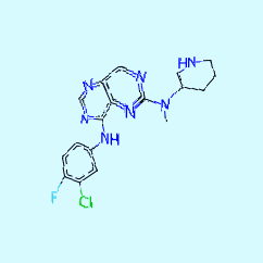 CN(c1ncc2ncnc(Nc3ccc(F)c(Cl)c3)c2n1)C1CCCNC1